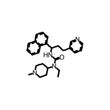 CCN(C(=O)NC(CCc1cccnc1)c1cccc2ccccc12)C1CCN(C)CC1